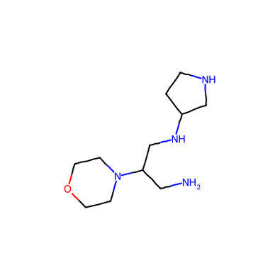 NCC(CNC1CCNC1)N1CCOCC1